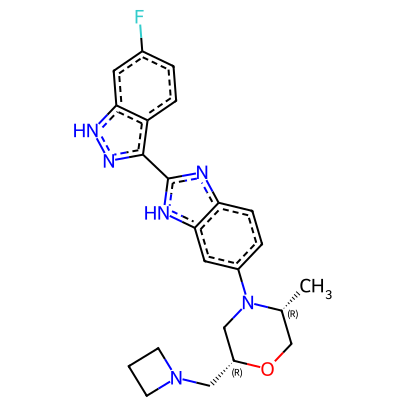 C[C@@H]1CO[C@H](CN2CCC2)CN1c1ccc2nc(-c3n[nH]c4cc(F)ccc34)[nH]c2c1